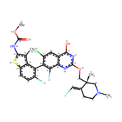 CN1CC/C(=C\F)[C@](C)(COc2nc(O)c3cc(Cl)c(-c4c(F)ccc5sc(NC(=O)OC(C)(C)C)c(C#N)c45)c(F)c3n2)C1